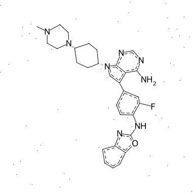 CN1CCN([C@H]2CC[C@@H](n3cc(-c4ccc(Nc5nc6ccccc6o5)c(F)c4)c4c(N)ncnc43)CC2)CC1